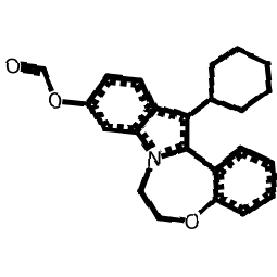 O=COc1ccc2c(C3CCCCC3)c3n(c2c1)CCOc1ccccc1-3